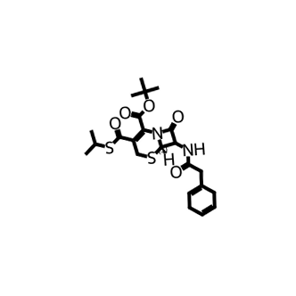 CC(C)SC(=O)C1=C(C(=O)OC(C)(C)C)N2C(=O)C(NC(=O)CC3=CCC=CC3)[C@@H]2SC1